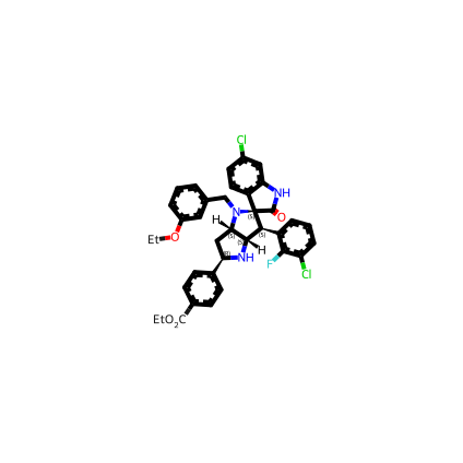 CCOC(=O)c1ccc([C@H]2C[C@H]3[C@@H](N2)[C@H](c2cccc(Cl)c2F)[C@]2(C(=O)Nc4cc(Cl)ccc42)N3Cc2cccc(OCC)c2)cc1